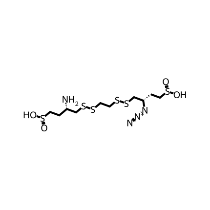 [N-]=[N+]=N[C@@H](CCS(=O)O)CSSCCSSC[C@@H](N)CCS(=O)O